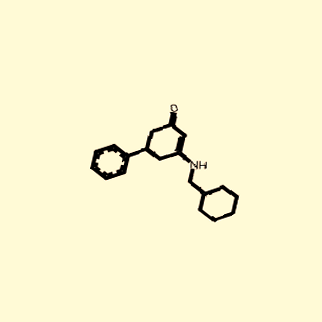 O=C1C=C(NCC2CCCCC2)CC(c2ccccc2)C1